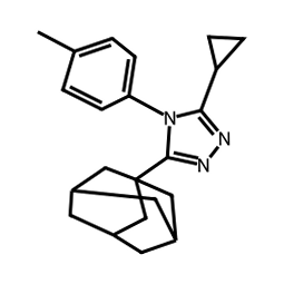 Cc1ccc(-n2c(C3CC3)nnc2C23CC4CC(CC(C4)C2)C3)cc1